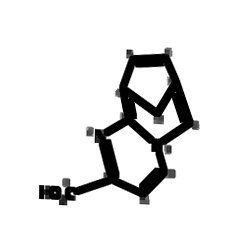 O=C(O)C1=NC2=C3C=CC(=CN2C=C1)C3